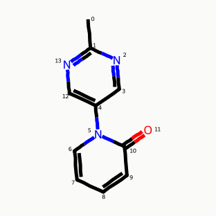 Cc1ncc(-n2ccccc2=O)cn1